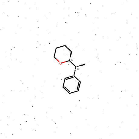 C[C@@H](c1ccccc1)[C@@H]1CCCCO1